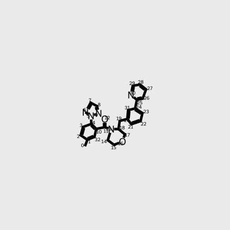 Cc1ccc(-n2nccn2)c(C(=O)N2CCOCC2Cc2cccc(-c3ccccn3)c2)c1